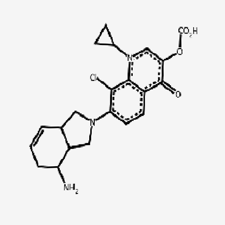 NC1CC=CC2CN(c3ccc4c(=O)c(OC(=O)O)cn(C5CC5)c4c3Cl)CC12